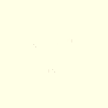 N=Cc1cnccc1O